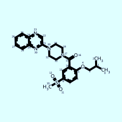 CC(C)COc1ccc(S(C)(=O)=O)cc1C(=O)N1CCN(c2cnc3ccccc3n2)CC1